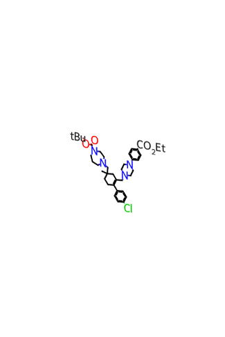 CCOC(=O)c1ccc(N2CCN(CC3=C(c4ccc(Cl)cc4)CCC(C)(CN4CCCN(C(=O)OC(C)(C)C)CC4)C3)CC2)cc1